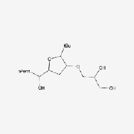 CCCCCC(O)C1CC(OCC(O)CO)C(C(C)(C)C)O1